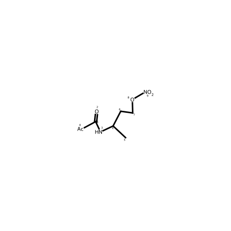 CC(=O)C(=O)NC(C)CCO[N+](=O)[O-]